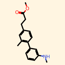 CNc1cccc(-c2ccc(CCC(=O)OC)cc2C)c1